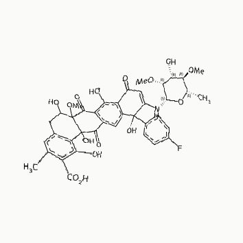 CO[C@@H]1[C@@H](O)[C@@H](OC)[C@@H](NC2=CC(=O)c3c(cc4c(c3O)C(=O)C3(OC)C(O)Cc5cc(C)c(C(=O)O)c(O)c5C3(O)C4=O)C2(O)c2ccc(F)cc2)O[C@H]1C